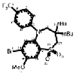 CCCCC1(CCCC)CN(c2ccc(C(F)(F)F)cc2)c2cc(Br)c(OC)cc2S(=O)(=O)C1